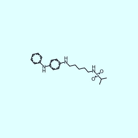 CC(C)S(=O)(=O)NCCCCCNc1ccc(Nc2ccccc2)cc1